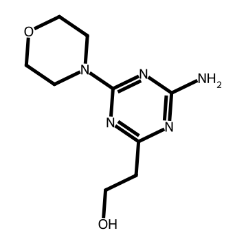 Nc1nc(CCO)nc(N2CCOCC2)n1